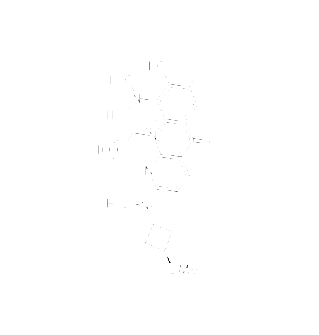 CO[C@H]1C[C@H](N(C)c2ccc3c(=O)c4ccc(C)c(N(C)C)c4n(CC(=O)O)c3n2)C1